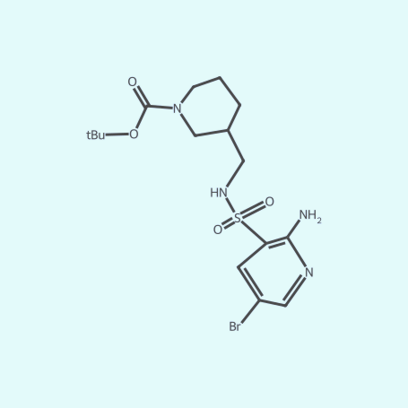 CC(C)(C)OC(=O)N1CCCC(CNS(=O)(=O)c2cc(Br)cnc2N)C1